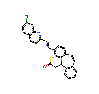 O=C(S)CC1c2ccccc2C=Cc2ccc(/C=C/c3ccc4ccc(Cl)cc4n3)cc21